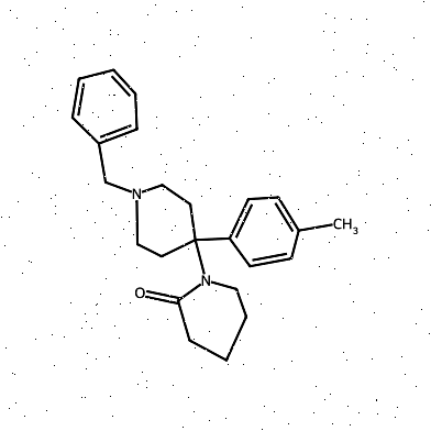 Cc1ccc(C2(N3CCCCC3=O)CCN(Cc3ccccc3)CC2)cc1